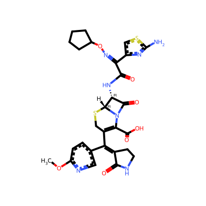 COc1ccc(C(=C2CCNC2=O)C2=C(C(=O)O)N3C(=O)[C@@H](NC(=O)C(=NOC4CCCC4)c4csc(N)n4)[C@H]3SC2)cn1